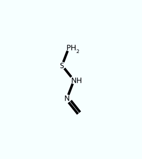 C=NNSP